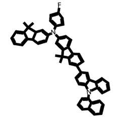 CC1(C)c2cc(-c3ccc4c(c3)c3ccccc3n4-c3cccc4ccccc34)ccc2-c2ccc(N(C3=CC4C(C=C3)c3ccccc3C4(C)C)c3ccc(F)cc3)cc21